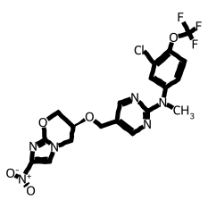 CN(c1ccc(OC(F)(F)F)c(Cl)c1)c1ncc(CO[C@@H]2COc3nc([N+](=O)[O-])cn3C2)cn1